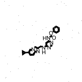 O=C(Nc1cc(NCc2cn3cc(C4CC4)ccc3n2)ncn1)Oc1ccccc1